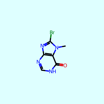 Cn1c(Br)nc2nc[nH]c(=O)c21